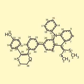 CSC(SC)=C1c2ccccc2N(c2ccccc2)c2cc(-c3cccc(C4=C(c5ccc(O)cc5)SCCO4)c3)ccc21